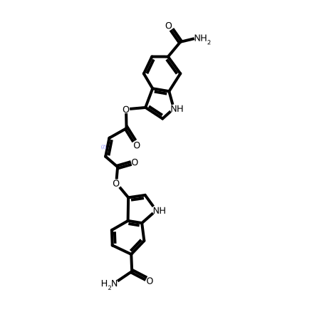 NC(=O)c1ccc2c(OC(=O)/C=C\C(=O)Oc3c[nH]c4cc(C(N)=O)ccc34)c[nH]c2c1